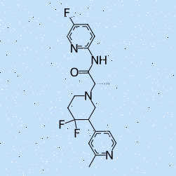 Cc1cc(C2CN([C@@H](C)C(=O)Nc3ccc(F)cn3)CCC2(F)F)ccn1